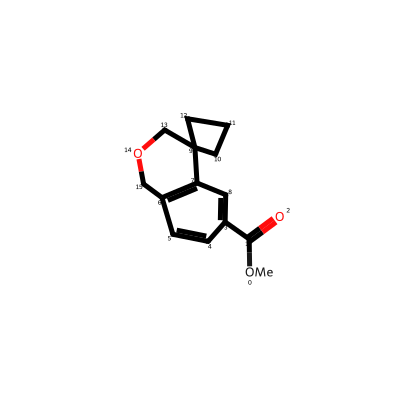 COC(=O)c1ccc2c(c1)C1(CCC1)COC2